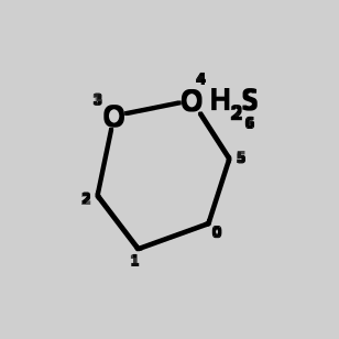 C1CCOOC1.S